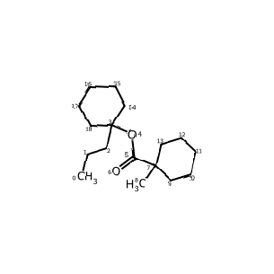 CCCC1(OC(=O)C2(C)CCCCC2)CCCCC1